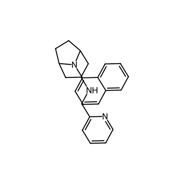 c1ccc(CNC2CC3CCC(C2)N3c2cccc3ccccc23)nc1